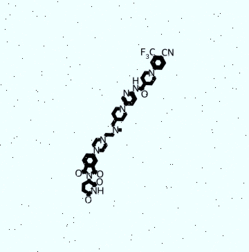 CN(CCN1CCN(c2ccc3c(c2)C(=O)N(C2CCC(=O)NC2=O)C3=O)CC1)CC1CCN(c2ccc(NC(=O)C3CCN(c4ccc(C#N)c(C(F)(F)F)c4)CC3)nc2)CC1